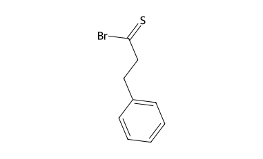 S=C(Br)CCc1ccccc1